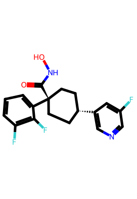 O=C(NO)[C@]1(c2cccc(F)c2F)CC[C@@H](c2cncc(F)c2)CC1